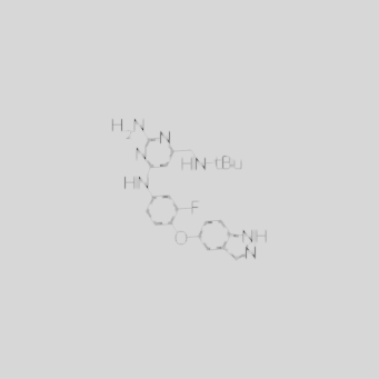 CC(C)(C)NCc1cc(Nc2ccc(Oc3ccc4[nH]ncc4c3)c(F)c2)nc(N)n1